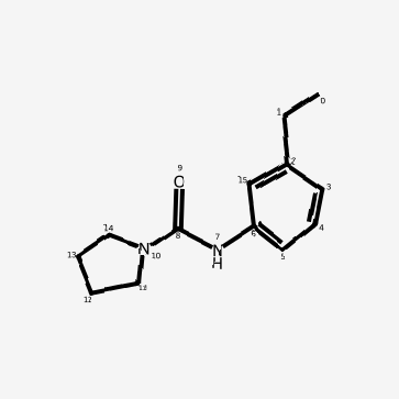 CCc1cccc(NC(=O)N2CCCC2)c1